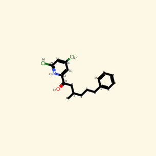 CC(CCCc1ccccc1)CC(=O)c1cc(Cl)cc(Cl)n1